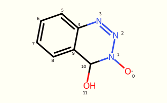 [O]N1N=Nc2ccccc2C1O